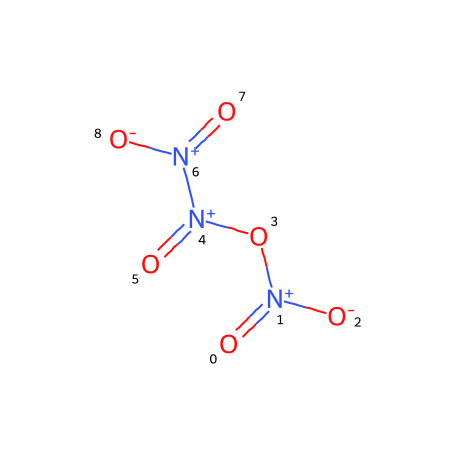 O=[N+]([O-])O[N+](=O)[N+](=O)[O-]